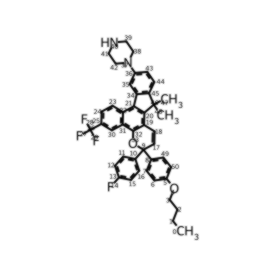 CCCCOc1ccc(C2(c3ccc(F)cc3)C=Cc3c4c(c5ccc(C(F)(F)F)cc5c3O2)-c2cc(N3CCNCC3)ccc2C4(C)C)cc1